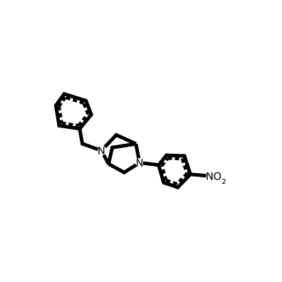 O=[N+]([O-])c1ccc(N2CC3CC2CN3Cc2ccccc2)cc1